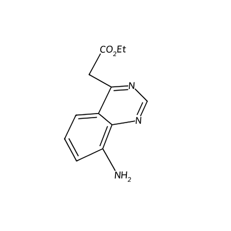 CCOC(=O)Cc1ncnc2c(N)cccc12